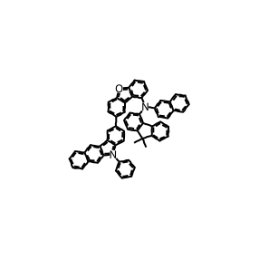 CC1(C)c2ccccc2-c2c(N(c3ccc4ccccc4c3)c3cccc4oc5ccc(-c6ccc7c(c6)c6cc8ccccc8cc6n7-c6ccccc6)cc5c34)cccc21